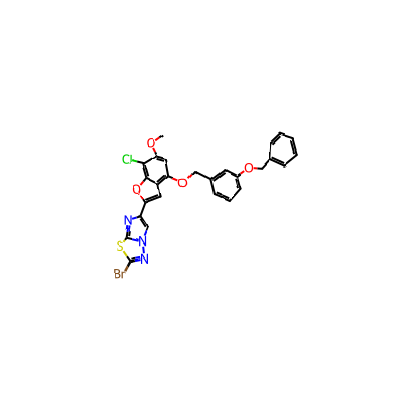 COc1cc(OCc2cccc(OCc3ccccc3)c2)c2cc(-c3cn4nc(Br)sc4n3)oc2c1Cl